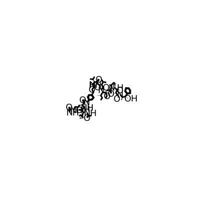 CC[C@H](C)[C@@H]([C@@H](CC(=O)N1CCC[C@H]1[C@H](OC)[C@@H](C)C(=O)N[C@H](C)[C@@H](O)c1ccccc1)OC)N(C)C(=O)[C@@H](NC(=O)[C@H](C(C)C)N(C)C(=O)OCc1ccc(NC(=O)[C@H](CCCNC(N)=O)NC(=O)[C@@H](NC(C)=O)C(C)C)cc1)C(C)C